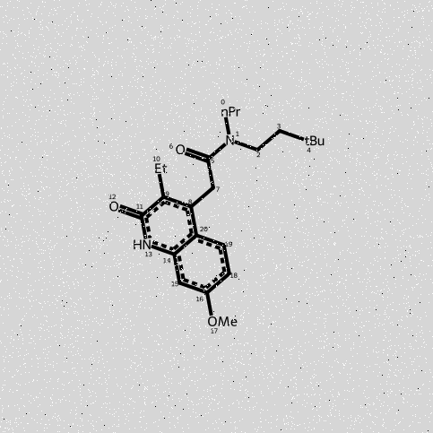 CCCN(CCC(C)(C)C)C(=O)Cc1c(CC)c(=O)[nH]c2cc(OC)ccc12